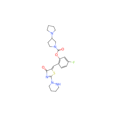 O=C1N=C(N2CCCCN2)S/C1=C\c1ccc(F)cc1OC(=O)N1CCC(N2CCCC2)C1